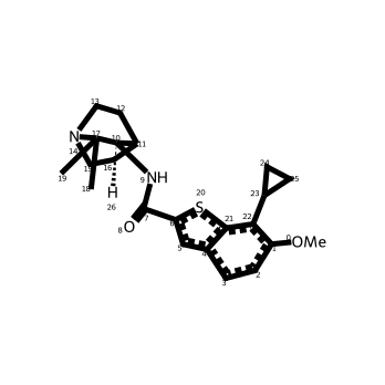 COc1ccc2cc(C(=O)N[C@@H]3C4CCN(CC4)C3(C)C)sc2c1C1CC1